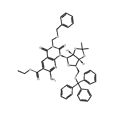 CCOC(=O)c1cc2c(=O)n(COCc3ccccc3)c(=O)n([C@@H]3O[C@H](COC(c4ccccc4)(c4ccccc4)c4ccccc4)[C@H]4OC(C)(C)O[C@H]43)c2nc1N